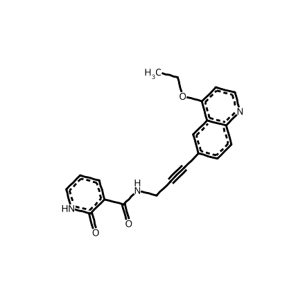 CCOc1ccnc2ccc(C#CCNC(=O)c3ccc[nH]c3=O)cc12